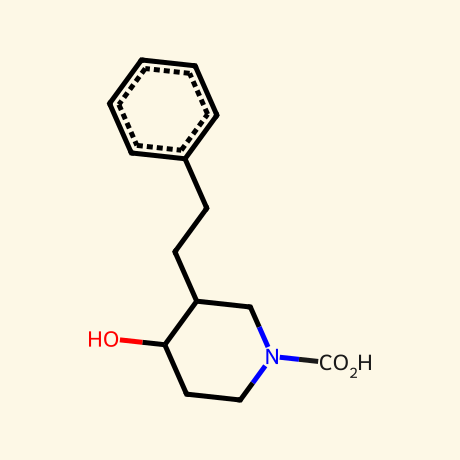 O=C(O)N1CCC(O)C(CCc2ccccc2)C1